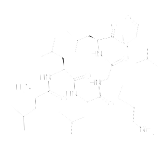 CC(C)C[C@@H]([C]=O)NC(=O)[C@H](CC(C)C)NC(=O)[C@H](CCCCN)NC(=O)[C@H](CC(C)C)NC(=O)[C@H](CC(C)C)NC(=O)[C@@H](N)CC(C)C